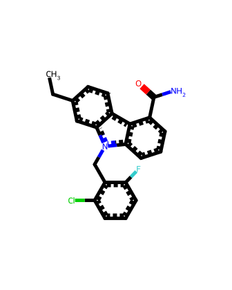 CCc1c[c]c2c3c(C(N)=O)cccc3n(Cc3c(F)cccc3Cl)c2c1